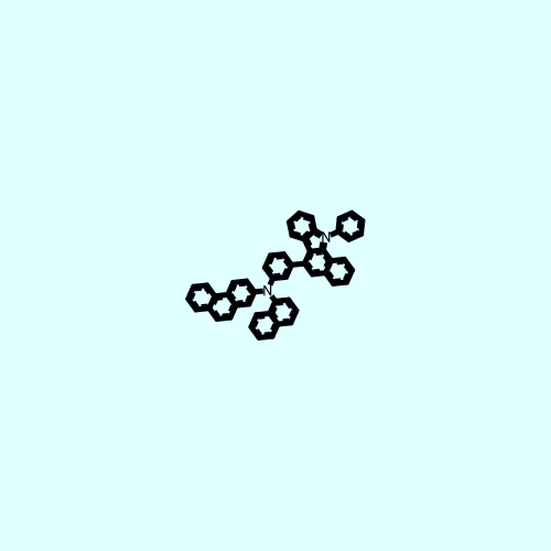 c1ccc(-n2c3ccccc3c3c(-c4cccc(N(c5ccc6c(ccc7ccccc76)c5)c5cccc6ccccc56)c4)cc4ccccc4c32)cc1